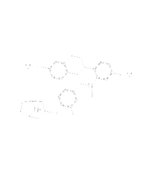 CCN(Cc1ccc(OC2CC3CCC(C2)N3C)c(F)c1)c1cc(OC)ccc1C1CCc2cc(OC)ccc2C1